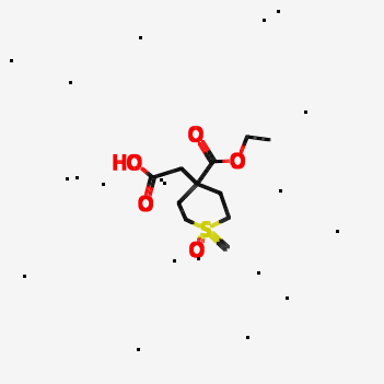 C=S1(=O)CCC(CC(=O)O)(C(=O)OCC)CC1